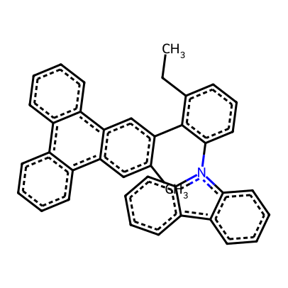 CCc1cccc(-n2c3ccccc3c3ccccc32)c1-c1cc2c3ccccc3c3ccccc3c2cc1C